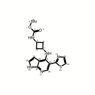 CC(C)(C)OC(=O)N[C@H]1C[C@@H](Nc2c(-c3nccs3)cnc3[nH]ccc23)C1